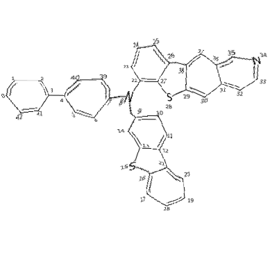 c1ccc(-c2ccc(N(c3ccc4c(c3)sc3ccccc34)c3cccc4c3sc3cc5ccncc5cc34)cc2)cc1